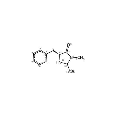 CN1C(=O)[C@H](Cc2ccccc2)NC1C(C)(C)C